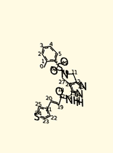 Cc1ccccc1S(=O)(=O)N1Cc2n[nH]c(NC(=O)C=Cc3ccsc3)c2C1